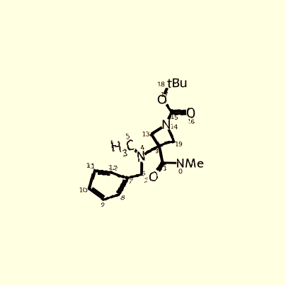 CNC(=O)C1(N(C)Cc2ccccc2)CN(C(=O)OC(C)(C)C)C1